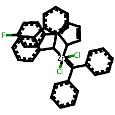 Fc1ccc(C2=CC=C[CH]2[Zr]([Cl])([Cl])(=[C](c2ccccc2)c2ccccc2)[CH]2c3ccccc3-c3ccccc32)cc1